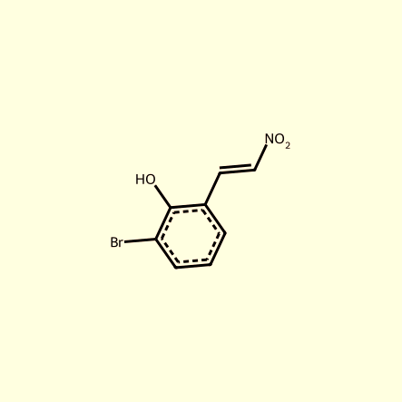 O=[N+]([O-])C=Cc1cccc(Br)c1O